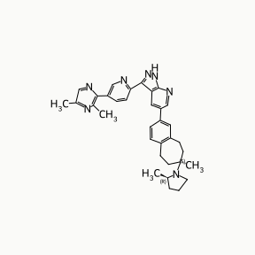 Cc1cnc(-c2ccc(-c3n[nH]c4ncc(-c5ccc6c(c5)CC[C@@](C)(N5CCC[C@H]5C)CC6)cc34)nc2)c(C)n1